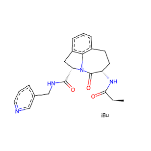 CC[C@H](C)[C@H](C)C(=O)N[C@H]1CCc2cccc3c2N(C1=O)[C@H](C(=O)NCc1cccnc1)C3